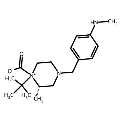 CNc1ccc(CN2CC[N+](C(=O)[O-])(C(C)(C)C)[C@@H](C)C2)cc1